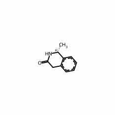 C[C@H]1NC(=O)Cc2ccccc21